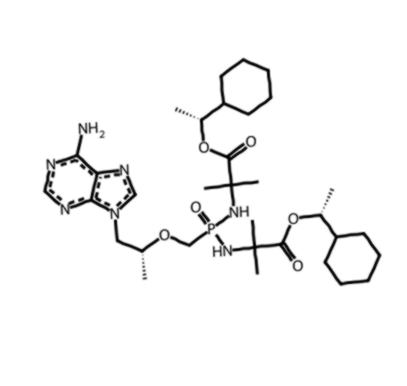 C[C@H](Cn1cnc2c(N)ncnc21)OCP(=O)(NC(C)(C)C(=O)O[C@H](C)C1CCCCC1)NC(C)(C)C(=O)O[C@H](C)C1CCCCC1